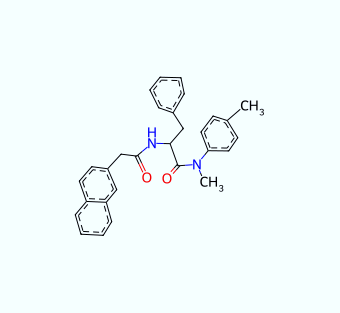 Cc1ccc(N(C)C(=O)C(Cc2ccccc2)NC(=O)Cc2ccc3ccccc3c2)cc1